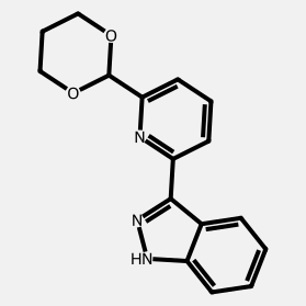 c1cc(-c2n[nH]c3ccccc23)nc(C2OCCCO2)c1